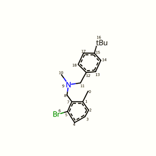 Cc1cccc(Br)c1CN(C)Cc1ccc(C(C)(C)C)cc1